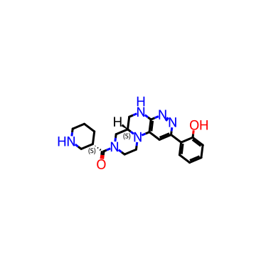 O=C([C@H]1CCCNC1)N1CCN2c3cc(-c4ccccc4O)nnc3NC[C@H]2C1